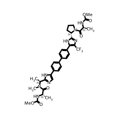 COC(=O)N[C@@H](C)C(=O)N(C)[C@@H](C)c1ncc(-c2ccc(-c3ccc(-c4[nH]c([C@@H]5CCCN5C(=O)[C@H](C)NC(=O)OC)nc4C(F)(F)F)cc3)cc2)[nH]1